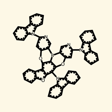 c1ccc2c(c1)oc1c(-n3c4ccccc4c4ccccc43)c3c4c(c12)Oc1cc(-n2c5ccccc5c5ccccc52)ncc1B4c1cnc(-n2c4ccccc4c4ccccc42)cc1O3